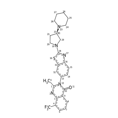 Cc1nc2c(C(F)(F)F)cccc2c(=O)n1-c1ccc2nc(N3CC[C@@H](N4CCCCC4)C3)sc2c1